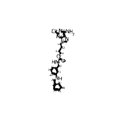 Nc1nc(Cl)nc2c1ncn2CCCCOC(=O)NCc1cccc(NCc2ccccc2)c1